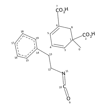 CC1(C(=O)O)C=CC=C(C(=O)O)C1.O=C=NCCc1ccccc1